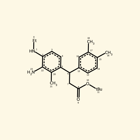 CCNc1ccc(C(CC(=O)OC(C)(C)C)c2ccc(C)c(C)c2)c(C)c1N